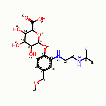 COCc1ccc(OC2OC(C(=O)O)C(O)C(O)C2O)c(NCCNC(C)C)c1